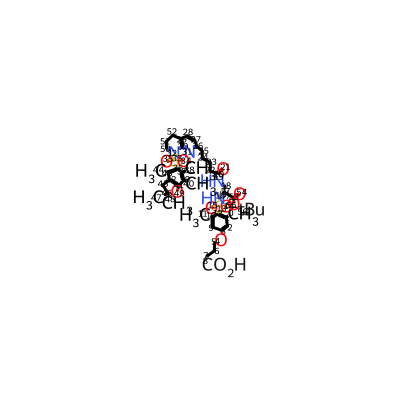 Cc1cc(OCCCC(=O)O)cc(C)c1S(=O)(=O)N[C@@H](CNC(=O)CCCCc1ccc2c(n1)N(S(=O)(=O)c1c(C)c(C)c3c(c1C)CC(C)(C)O3)CCC2)C(=O)OC(C)(C)C